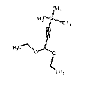 CCOC(C#C[Si](C)(C)C)OCC